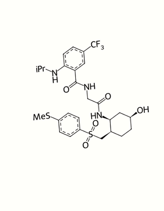 CSc1ccc(S(=O)(=O)C[C@@H]2CC[C@H](O)C[C@@H]2NC(=O)CNC(=O)c2cc(C(F)(F)F)ccc2NC(C)C)cc1